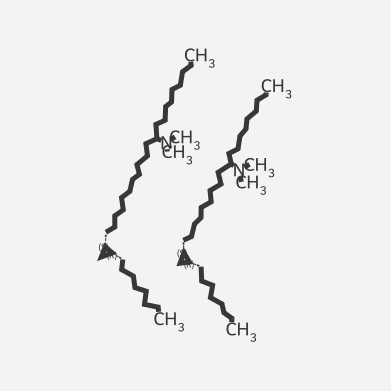 CCCCCCCCCC(CCCCCCCCCCC[C@H]1C[C@H]1CCCCCCCC)N(C)C.CCCCCCCCCC(CCCCCCCCC[C@H]1C[C@H]1CCCCCCCC)N(C)C